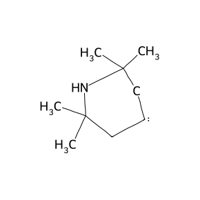 CC1(C)C[C]CC(C)(C)N1